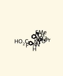 CSN(C)c1ccccc1Nc1nc(Nc2ccc(C(=O)O)c(F)c2)ncc1C(=O)OC(C)C